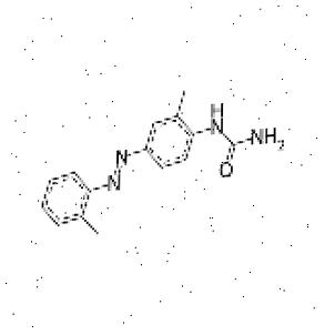 Cc1ccccc1N=Nc1ccc(NC(N)=O)c(C)c1